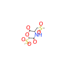 CS(=O)(=O)CC1NC(=O)C(S(C)(=O)=O)OC1=O